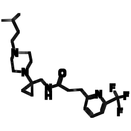 CC(C)CCN1CCN(C2(CNC(=O)CCc3cccc(C(F)(F)F)n3)CC2)CC1